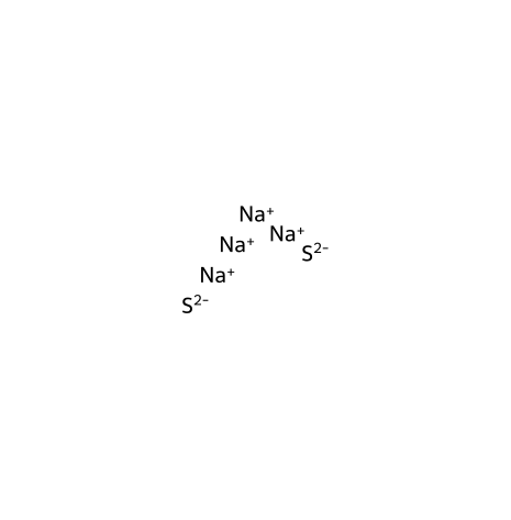 [Na+].[Na+].[Na+].[Na+].[S-2].[S-2]